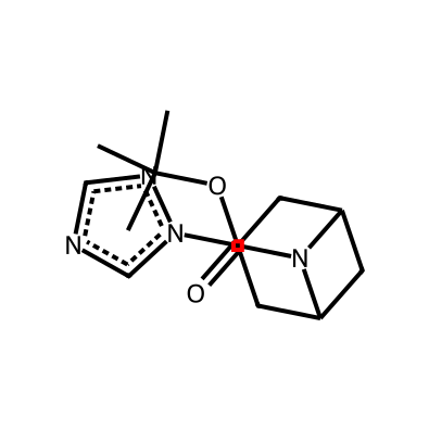 CC(C)(C)OC(=O)N1C2CC1CC(n1cncn1)C2